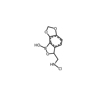 OB1OC(CNCl)c2ccc3c(c21)OCO3